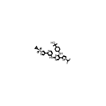 CC(C)(O)C1CCC(Nc2nc(Nc3ccnc(-c4cnn(S(=O)(=O)C5CC5)c4)c3)ncc2-c2ccn(C(F)F)n2)CC1